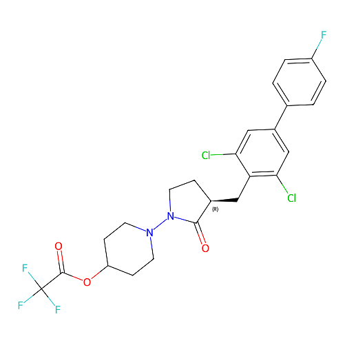 O=C1[C@H](Cc2c(Cl)cc(-c3ccc(F)cc3)cc2Cl)CCN1N1CCC(OC(=O)C(F)(F)F)CC1